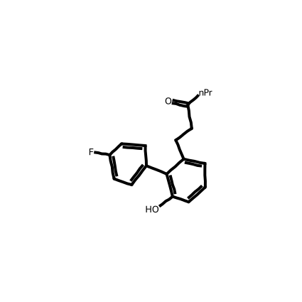 CCCC(=O)CCc1cccc(O)c1-c1ccc(F)cc1